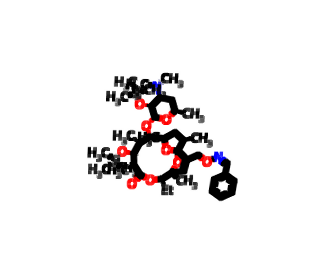 CC[C@H]1OC(=O)[C@H](C)[C@@H](O[Si](C)(C)C)[C@H](C)[C@@H](O[C@@H]2O[C@H](C)C[C@H](N(C)C)[C@H]2O[Si](C)(C)C)[C@@]2(C)C[C@@H](C)C3(OC1(C)C=C3CO/N=C\c1ccccc1)O2